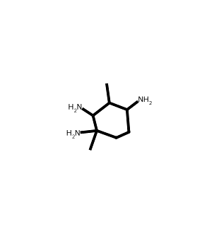 CC1C(N)CCC(C)(N)C1N